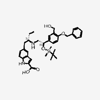 CC[C@@H](Cc1ccc2[nH]c(C(=O)O)cc2c1)NC[C@@H](O[Si](C)(C)C(C)(C)C)c1ccc(OCc2ccccc2)c(CO)c1